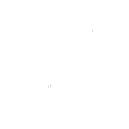 CC1(C)CC(C)(C2CCC(O)CC2)c2cc(O)ccc21